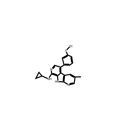 CCSc1cccc(-c2cnc(NC3CC3)c3[nH]c4ncc(C)cc4c23)c1